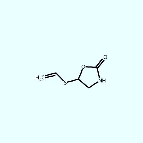 C=CSC1CNC(=O)O1